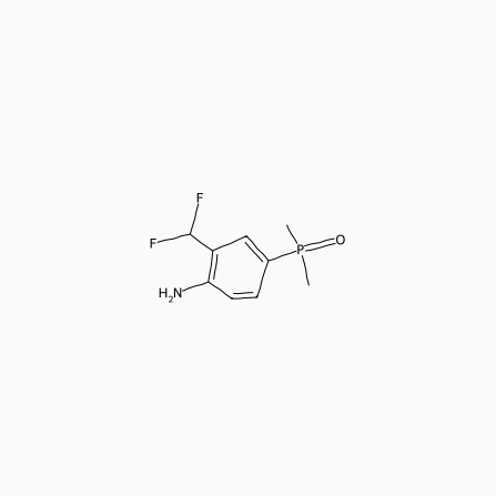 CP(C)(=O)c1ccc(N)c(C(F)F)c1